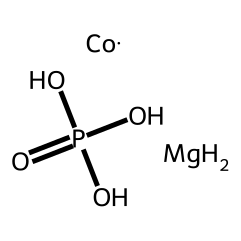 O=P(O)(O)O.[Co].[MgH2]